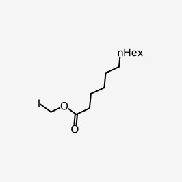 CCCCCCCCCCCC(=O)OCI